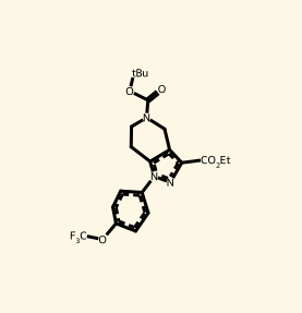 CCOC(=O)c1nn(-c2ccc(OC(F)(F)F)cc2)c2c1CN(C(=O)OC(C)(C)C)CC2